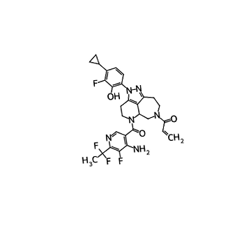 C=CC(=O)N1CCc2nn(-c3ccc(C4CC4)c(F)c3O)c3c2C(C1)N(C(=O)c1cnc(C(C)(F)F)c(F)c1N)CC3